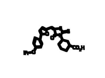 CC(C)Oc1ccc(-c2ccc(C=C3SC(=S)N(C4CCCC(C(=O)O)C4)C3=O)o2)cc1